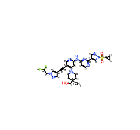 CC1(CO)CCN(c2cc(Nc3ccnc(-c4cnn(S(=O)(=O)C5CC5)c4)n3)ncc2C#Cc2cnn(CC(F)F)c2)CC1